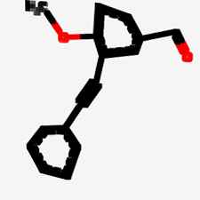 COc1ccc(C=O)cc1C#Cc1ccccc1